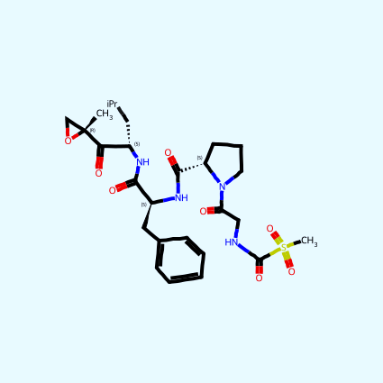 CC(C)C[C@H](NC(=O)[C@H](Cc1ccccc1)NC(=O)[C@@H]1CCCN1C(=O)CNC(=O)S(C)(=O)=O)C(=O)[C@@]1(C)CO1